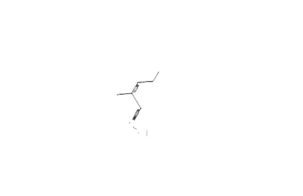 CCC=C(C)C=NO